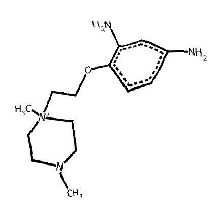 CN1CC[N+](C)(CCOc2ccc(N)cc2N)CC1